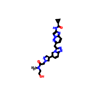 CN(CCO)C(=O)Cn1cc(-c2ccc3nnc(Cc4ccc5nc(NC(=O)C6CC6)cn5n4)n3c2)cn1